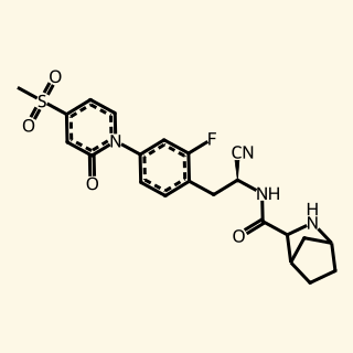 CS(=O)(=O)c1ccn(-c2ccc(C[C@@H](C#N)NC(=O)C3NC4CCC3C4)c(F)c2)c(=O)c1